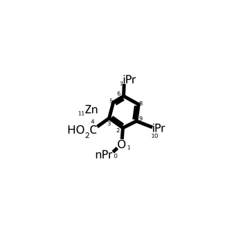 CCCOc1c(C(=O)O)cc(C(C)C)cc1C(C)C.[Zn]